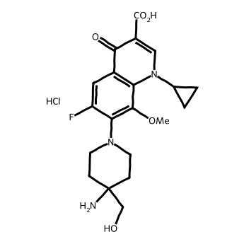 COc1c(N2CCC(N)(CO)CC2)c(F)cc2c(=O)c(C(=O)O)cn(C3CC3)c12.Cl